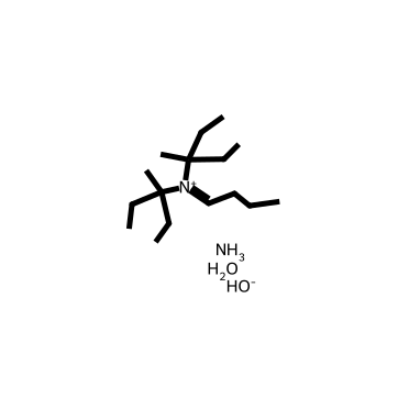 CCCC=[N+](C(C)(CC)CC)C(C)(CC)CC.N.O.[OH-]